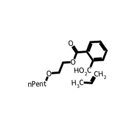 C=CC.CCCCCOCCOC(=O)c1ccccc1C(=O)O